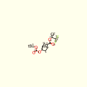 CC(C)(C)OC(=O)OC1CC2CC1CC2C(=O)OC(C(F)F)C(F)(F)F